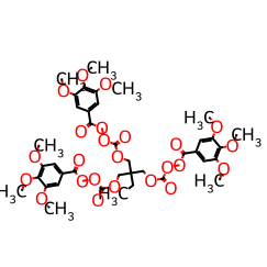 CCC(COC(=O)OOC(=O)c1cc(OC)c(OC)c(OC)c1)(COC(=O)OOC(=O)c1cc(OC)c(OC)c(OC)c1)COC(=O)OOC(=O)c1cc(OC)c(OC)c(OC)c1